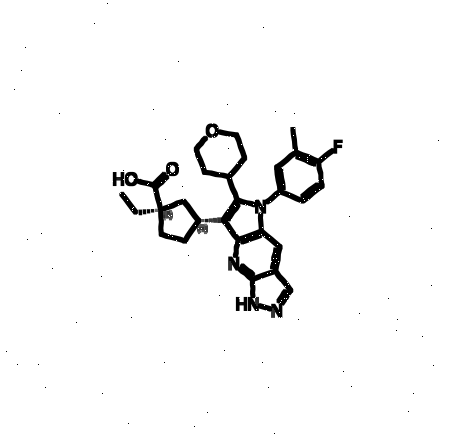 CC[C@@]1(C(=O)O)CC[C@@H](c2c(C3CCOCC3)n(-c3ccc(F)c(C)c3)c3cc4cn[nH]c4nc23)C1